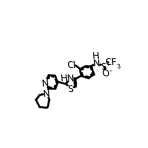 [O-][S+](Nc1ccc(C2=CSC(c3ccnc(N4CCCCC4)c3)N2)c(Cl)c1)C(F)(F)F